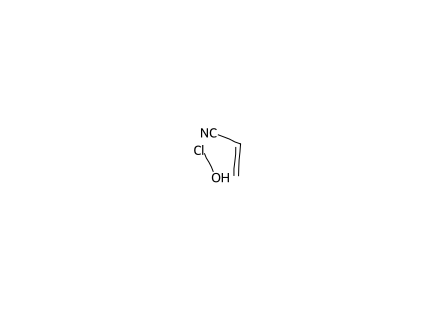 C=CC#N.OCl